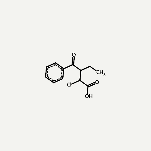 CCC(C(=O)c1ccccc1)C(Cl)C(=O)O